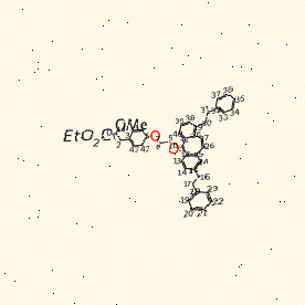 CCOC(=O)C(Cc1ccc(OCCOC2c3ccc(CCc4ccccc4)cc3C=Cc3c(CCc4ccccc4)cccc32)cc1)OC